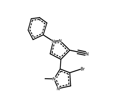 Cn1ncc(Br)c1-c1cn(-c2ccccc2)nc1C#N